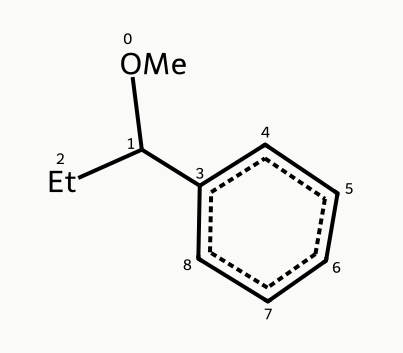 [CH2]OC(CC)c1ccccc1